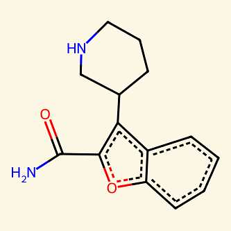 NC(=O)c1oc2ccccc2c1C1CCCNC1